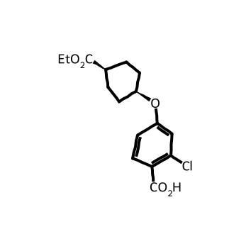 CCOC(=O)[C@H]1CC[C@@H](Oc2ccc(C(=O)O)c(Cl)c2)CC1